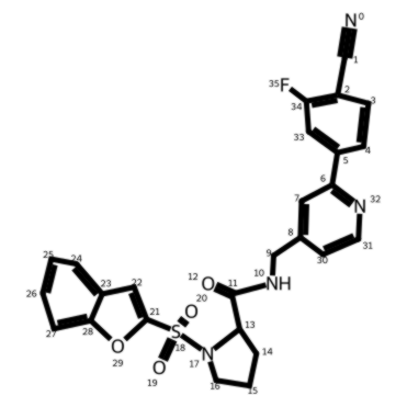 N#Cc1ccc(-c2cc(CNC(=O)C3CCCN3S(=O)(=O)c3cc4ccccc4o3)ccn2)cc1F